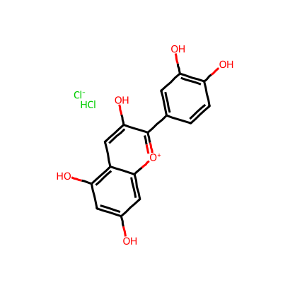 Cl.Oc1cc(O)c2cc(O)c(-c3ccc(O)c(O)c3)[o+]c2c1.[Cl-]